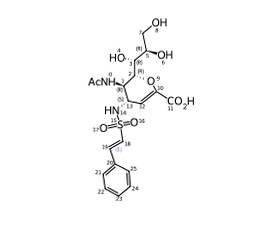 CC(=O)N[C@H]1[C@H]([C@H](O)[C@H](O)CO)OC(C(=O)O)=C[C@@H]1NS(=O)(=O)/C=C/c1ccccc1